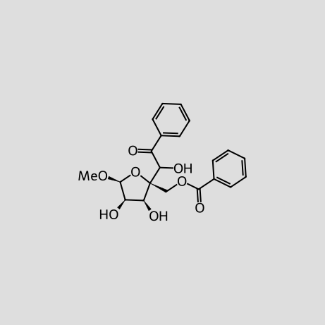 CO[C@H]1O[C@](COC(=O)c2ccccc2)(C(O)C(=O)c2ccccc2)[C@@H](O)[C@H]1O